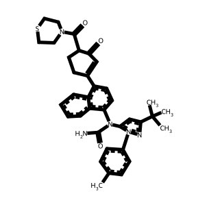 Cc1ccc(-n2nc(C(C)(C)C)cc2N(C(N)=O)c2ccc(C3=CC(=O)C(C(=O)N4CCSCC4)CC3)c3ccccc23)cc1